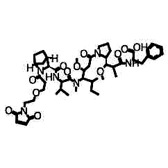 CCC(C)C(C(CC(=O)N1CCC[C@H]1C(OC)C(C)C(=O)NC(Cc1ccccc1)C(=O)O)OC)N(C)C(=O)C(NC(=O)[C@@H]1[C@H]2CC[C@H](C2)N1C(=O)CCOCCN1C(=O)C=CC1=O)C(C)C